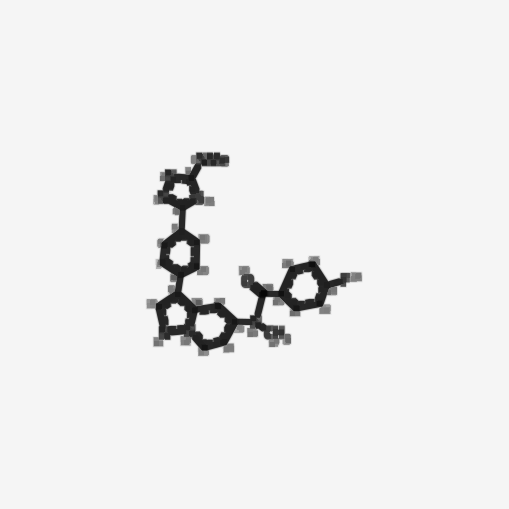 CNc1nnc(-c2ccc(-c3cnn4ccc(N(C)C(=O)c5ccc(F)cc5)cc34)cc2)s1